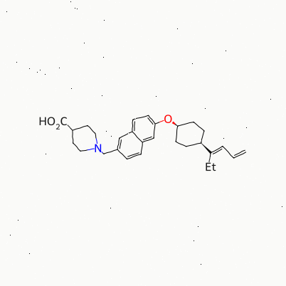 C=C/C=C(\CC)[C@H]1CC[C@@H](Oc2ccc3cc(CN4CCC(C(=O)O)CC4)ccc3c2)CC1